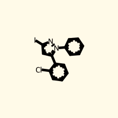 Clc1ccccc1-c1cc(I)nn1-c1ccccc1